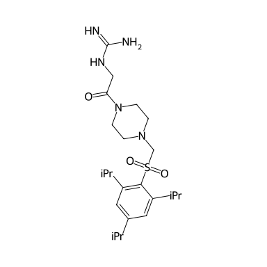 CC(C)c1cc(C(C)C)c(S(=O)(=O)CN2CCN(C(=O)CNC(=N)N)CC2)c(C(C)C)c1